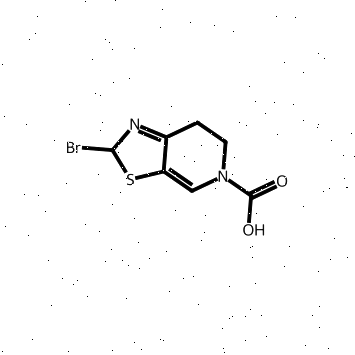 O=C(O)N1C=C2SC(Br)N=C2CC1